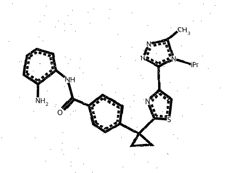 Cc1nnc(-c2csc(C3(c4ccc(C(=O)Nc5ccccc5N)cc4)CC3)n2)n1C(C)C